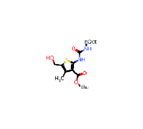 CCCCCCCCNC(=O)Nc1sc(CO)c(C)c1C(=O)OC(C)(C)C